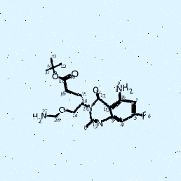 Cc1nc2cc(F)cc(N)c2c(=O)n1[C@@H](CCC(=O)OC(C)(C)C)COCN